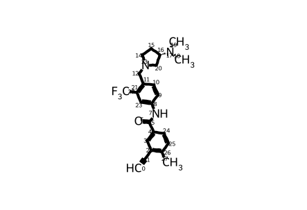 C#Cc1cc(C(=O)Nc2ccc(CN3CC[C@H](N(C)C)C3)c(C(F)(F)F)c2)ccc1C